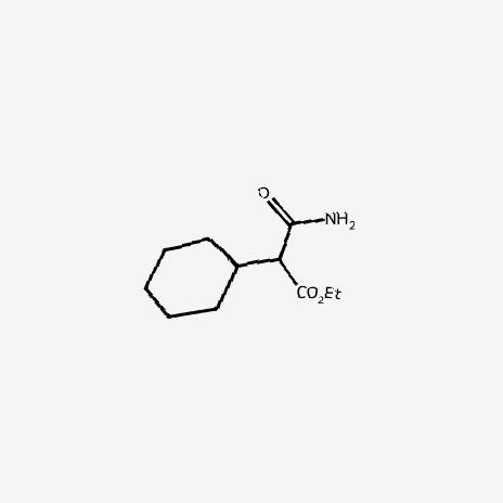 CCOC(=O)C(C(N)=O)C1CCCCC1